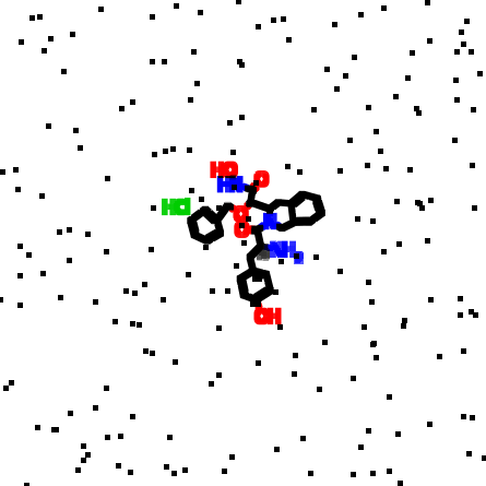 Cl.N[C@@H](Cc1ccc(O)cc1)C(=O)N1Cc2ccccc2CC1C(OCc1ccccc1)C(=O)NO